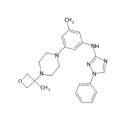 Cc1cc(Nc2ncn(-c3ccccc3)n2)cc(N2CCN(C3(C)COC3)CC2)c1